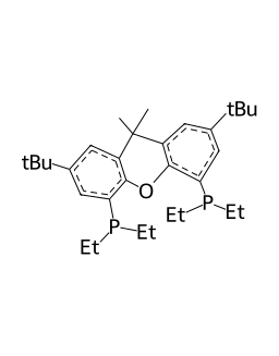 CCP(CC)c1cc(C(C)(C)C)cc2c1Oc1c(P(CC)CC)cc(C(C)(C)C)cc1C2(C)C